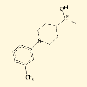 C[C@@H](O)C1CCN(c2cccc(C(F)(F)F)c2)CC1